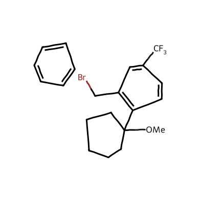 COC1(c2ccc(C(F)(F)F)cc2CBr)CCCCC1.c1ccccc1